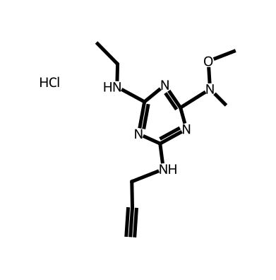 C#CCNc1nc(NCC)nc(N(C)OC)n1.Cl